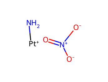 O=[N+]([O-])[O-].[NH2][Pt+]